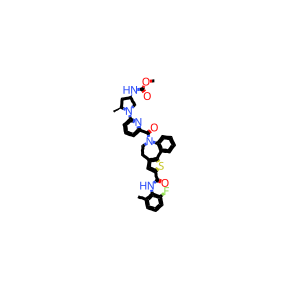 COC(=O)N[C@H]1C[C@H](C)N(c2cccc(C(=O)N3CCc4cc(C(=O)Nc5c(C)cccc5F)sc4-c4ccccc43)n2)C1